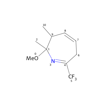 COC1(C)N=C(C(F)(F)F)CC=CC1C